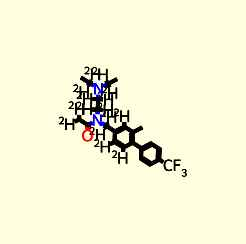 [2H]c1c([2H])c(C([2H])([2H])N(C(=O)C([2H])[2H])C([2H])([2H])C([2H])([2H])N(C([2H])([2H])C)C([2H])([2H])C)c([2H])c(C)c1-c1ccc(C(F)(F)F)cc1